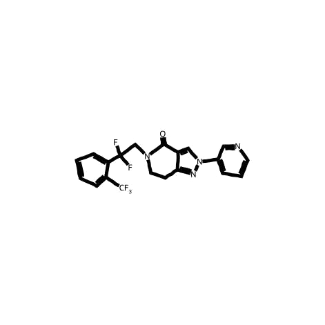 O=C1c2cn(-c3cccnc3)nc2CCN1CC(F)(F)c1ccccc1C(F)(F)F